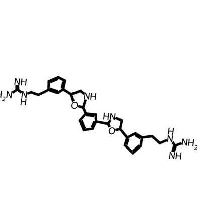 N=C(N)NCCc1cccc(C2CNC(c3cccc(C4NCC(c5cccc(CCNC(=N)N)c5)O4)c3)O2)c1